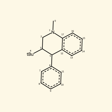 CN1CC(C(C)(C)C)C(c2ccccc2)c2ccccc21